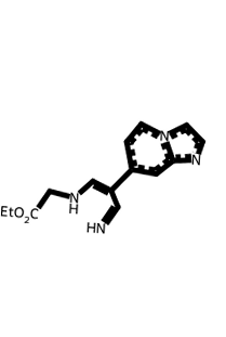 CCOC(=O)CN/C=C(\C=N)c1ccn2ccnc2c1